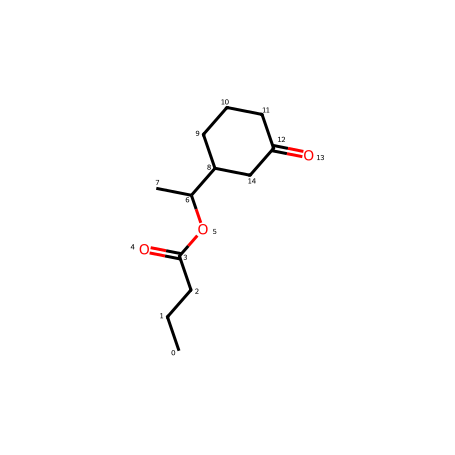 CCCC(=O)OC(C)C1CCCC(=O)C1